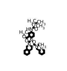 Cc1c(NC(=O)OC(C)(C)C)ccc2nc(N3Cc4ccccc4C[C@H]3C(=O)N(C)Cc3ccccn3)oc(=O)c12